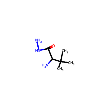 CC(C)(C)C(N)C(=O)NN